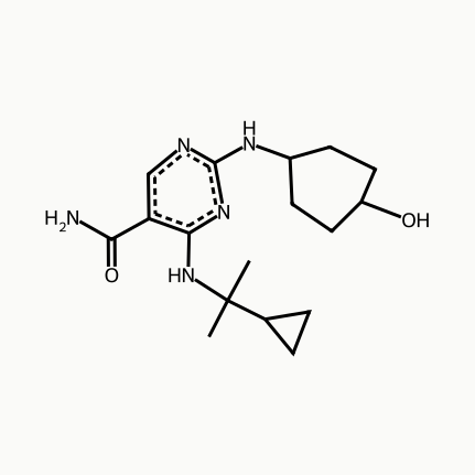 CC(C)(Nc1nc(NC2CCC(O)CC2)ncc1C(N)=O)C1CC1